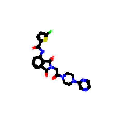 O=C(Nc1cccc2c1C(=O)N(CC(=O)N1CCN(c3cnccn3)CC1)C2=O)c1ccc(Cl)s1